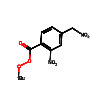 CC(C)(C)OOC(=O)c1ccc(C[N+](=O)[O-])cc1[N+](=O)[O-]